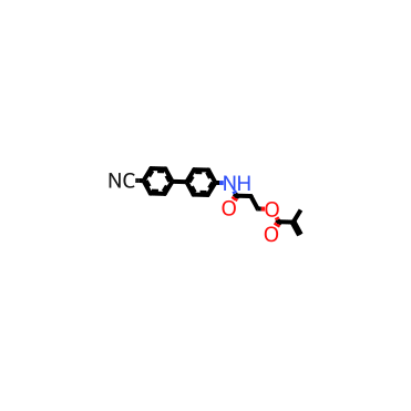 C=C(C)C(=O)OCCC(=O)Nc1ccc(-c2ccc(C#N)cc2)cc1